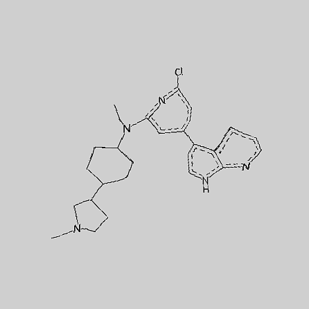 CN1CCC(C2CCC(N(C)c3cc(-c4c[nH]c5ncccc45)cc(Cl)n3)CC2)C1